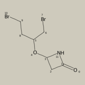 O=C1CC(OC(CBr)CCBr)N1